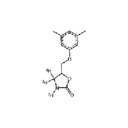 [2H]N1C(=O)OC(COc2cc(C)cc(C)c2)C1([2H])[2H]